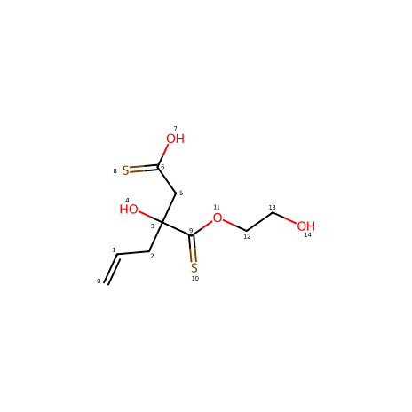 C=CCC(O)(CC(O)=S)C(=S)OCCO